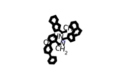 C=CC(N/C(=N\C(=C)c1cccc2oc3ccc(-c4ccccc4)cc3c12)c1ccc2ccc3ccccc3c2c1)c1ccc2ccccc2c1